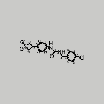 O=C(NCc1ccc(Cl)cc1)Nc1ccc(C2CS(=O)(=O)C2)cc1